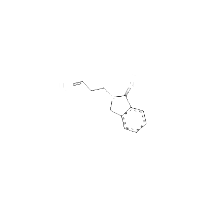 Br.C=CCCN1Cc2ccccc2C1=N